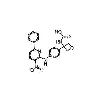 O=C(O)NC1(c2ccc(Nc3nc(-c4ccccc4)ccc3[N+](=O)[O-])cc2)COC1